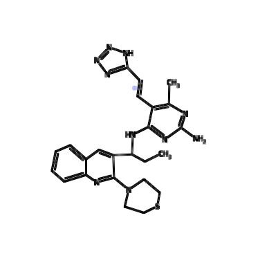 CCC(Nc1nc(N)nc(C)c1/C=C/c1nnn[nH]1)c1cc2ccccc2nc1N1CCSCC1